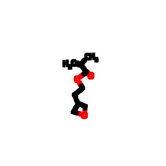 C=C(C)C(=O)OCCC1COC1